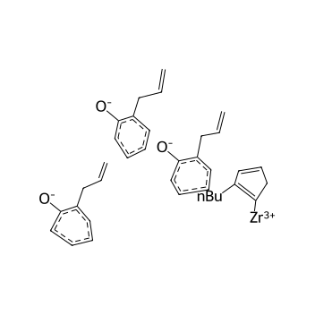 C=CCc1ccccc1[O-].C=CCc1ccccc1[O-].C=CCc1ccccc1[O-].CCCCC1=[C]([Zr+3])CC=C1